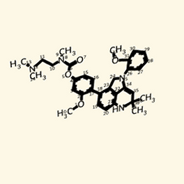 COc1cc(OC(=O)N(C)CCN(C)C)ccc1-c1ccc2c3c1CN(c1ccccc1OC)C3=CC(C)(C)N2